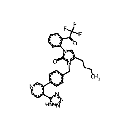 CCCCc1cn(-c2ccccc2C(=O)C(F)(F)F)c(=O)n1Cc1ccc(-c2cnccc2-c2nnn[nH]2)cc1